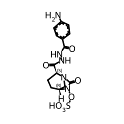 Nc1ccc(C(=O)NNC(=O)[C@@H]2CC[C@@H]3CN2C(=O)N3OS(=O)(=O)O)cc1